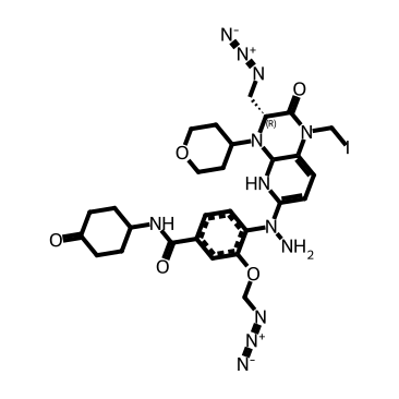 [N-]=[N+]=NCOc1cc(C(=O)NC2CCC(=O)CC2)ccc1N(N)C1=CC=C2C(N1)N(C1CCOCC1)[C@H](CN=[N+]=[N-])C(=O)N2CI